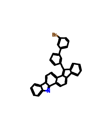 Brc1cccc(-c2cccc(C3=c4c(ccc5c6c(ccc45)-c4ccccc4N=6)-c4ccccc43)c2)c1